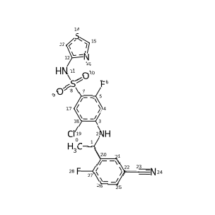 CC(Nc1cc(F)c(S(=O)(=O)Nc2cscn2)cc1Cl)c1cc(C#N)ccc1F